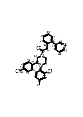 Cc1ccc(N2CCN(C(=O)Cc3ccccc3-c3cccnc3)CC2c2ccc(Cl)cc2)c(Cl)c1